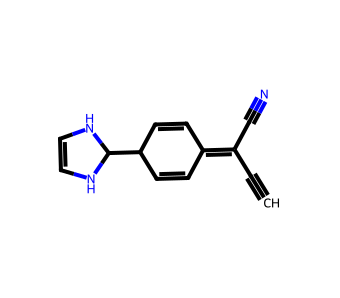 C#CC(C#N)=C1C=CC(C2NC=CN2)C=C1